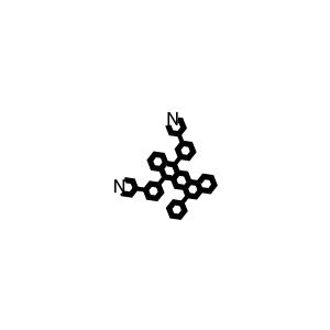 c1ccc(-c2cc3ccccc3c3cc4c(-c5cccc(-c6ccncc6)c5)c5ccccc5c(-c5cccc(-c6ccncc6)c5)c4cc23)cc1